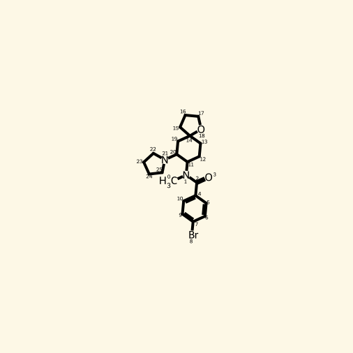 CN(C(=O)c1ccc(Br)cc1)C1CCC2(CCCO2)CC1N1CCCC1